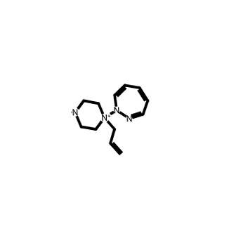 C=CC[N+]1(N2C=CC=CC=N2)CC[N]CC1